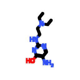 CCN(CC)CCNc1ncc(N)c(O)n1